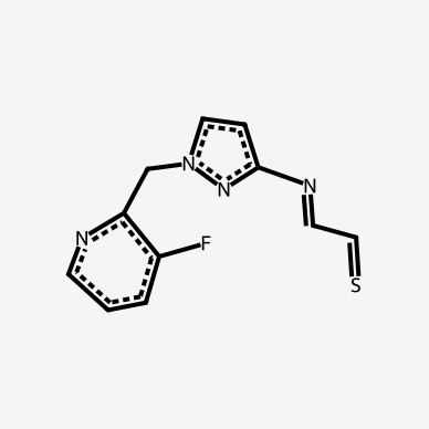 Fc1cccnc1Cn1ccc(N=CC=S)n1